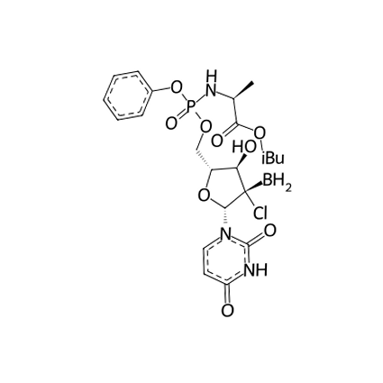 B[C@]1(Cl)[C@H](O)[C@@H](COP(=O)(N[C@@H](C)C(=O)OC(C)CC)Oc2ccccc2)O[C@H]1n1ccc(=O)[nH]c1=O